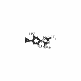 CCc1cc(C2CC2)c(S)cc1-n1nc(C(F)(F)F)nc1NC